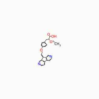 CCOC(Cc1ccc(OCC=C2c3cnccc3-c3ccncc32)cc1)C(=O)O